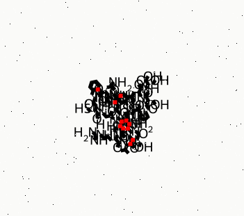 CSCC[C@H](NC(=O)[C@H](CC(C)C)NC(=O)[C@H](CO)NC(=O)[C@@H](NC(=O)[C@H](CCCNC(=N)N)NC(=O)[C@H](CC(N)=O)NC(=O)[C@H](CCCNC(=N)N)NC(=O)CNC(=O)[C@H](CS)NC(=O)[C@H](Cc1ccccc1)NC(=O)[C@H](CC(N)=O)NC(=O)[C@H](C)N)C(C)C)C(=O)N[C@@H](CS)C(=O)N1CCC[C@H]1C(=O)N[C@@H](CO)C(=O)N[C@@H](Cc1c[nH]c2ccccc12)C(=O)N[C@@H](CO)C(=O)O